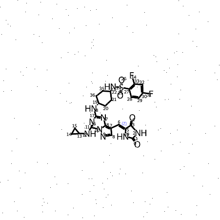 O=C1NC(=O)/C(=C/c2cnn3c(NC4CC4)nc(N[C@H]4CC[C@H](NS(=O)(=O)c5ccc(F)cc5F)CC4)nc23)N1